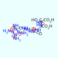 NC(=O)CN1CCN(CC(N)=O)CCN(CC(N)=O)C(Cc2ccc(NC(=S)NC[C@H]3CC[C@H](C(=O)N[C@@H](Cc4ccc5ccccc5c4)C(=O)NCCCC[C@H](NC(=O)N[C@@H](CCC(=O)O)C(=O)O)C(=O)O)CC3)cc2)CN(CC(N)=O)CC1